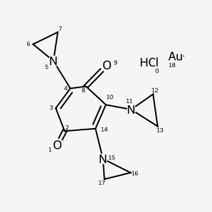 Cl.O=C1C=C(N2CC2)C(=O)C(N2CC2)=C1N1CC1.[Au]